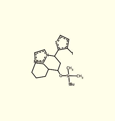 CC(C)(C)[Si](C)(C)OC(CC(c1sccc1I)n1ccnc1)C1CCCCC1